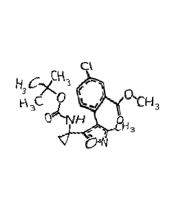 COC(=O)c1cc(Cl)ccc1-c1c(C)noc1C1(NC(=O)OC(C)(C)C)CC1